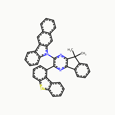 CC1(C)c2ccccc2-c2nc(-c3cccc4sc5ccccc5c34)c(-n3c4ccccc4c4cc5ccccc5cc43)nc21